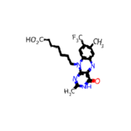 C=c1nc2c(c(=O)[nH]1)=Nc1cc(C)c(C(F)(F)F)cc1N2CCCCCCC(=O)O